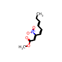 CCC=C/C=C\C(=C\C(=O)OC)[N+](=O)[O-]